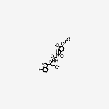 COCCOc1ccc(C(=O)NCC(=O)N/N=C(\CCOC)c2csc3c(F)cccc23)cc1OC